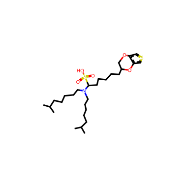 CC(C)CCCCCN(CCCCCC(C)C)C(CCCCCC1COc2cscc2O1)S(=O)(=O)O